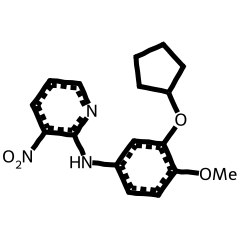 COc1ccc(Nc2ncccc2[N+](=O)[O-])cc1OC1CCCC1